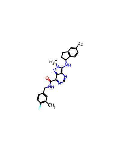 CC(=O)c1ccc2c(c1)CCC2Nc1c2ncnc(C(=O)NCc3ccc(F)c(C)c3)c2nn1C